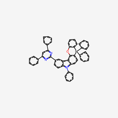 c1ccc(-c2cc(-c3ccccc3)nc(-c3ccc4c(c3)c3c5c(ccc3n4-c3ccccc3)[Si](c3ccccc3)(c3ccccc3)c3ccccc3O5)n2)cc1